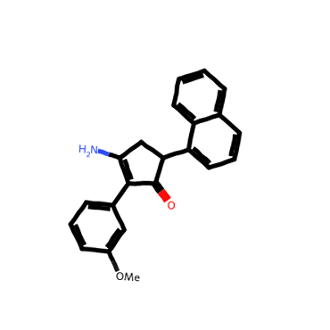 COc1cccc(C2=C(N)CC(c3cccc4ccccc34)C2=O)c1